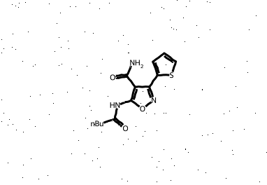 CCCCC(=O)Nc1onc(-c2cccs2)c1C(N)=O